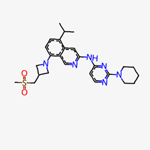 CC(C)c1ccc(N2CC(CS(C)(=O)=O)C2)c2cnc(Nc3ccnc(N4CCCCC4)n3)cc12